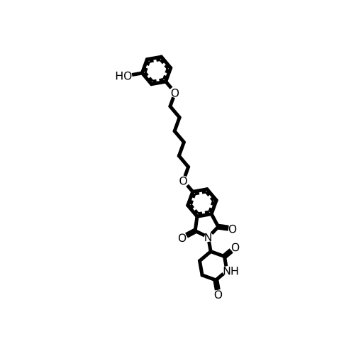 O=C1CCC(N2C(=O)c3ccc(OCCCCCCOc4cccc(O)c4)cc3C2=O)C(=O)N1